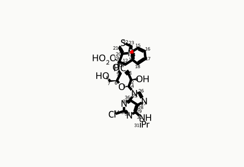 C#C[C@@H](O)[C@@H](O[C@@H](CO)CO[C@@](Cc1ccccc1)(C(=O)O)c1cscn1)n1cnc2c(NC(C)C)nc(Cl)nc21